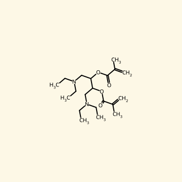 C=C(C)C(=O)OC(CN(CC)CC)C(CN(CC)CC)OC(=O)C(=C)C